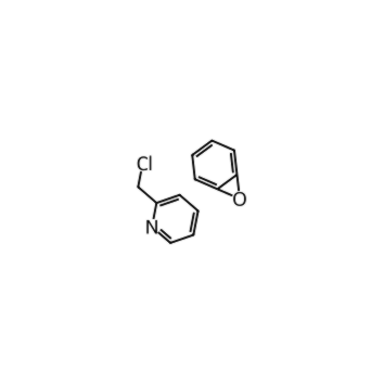 ClCc1ccccn1.c1ccc2c(c1)O2